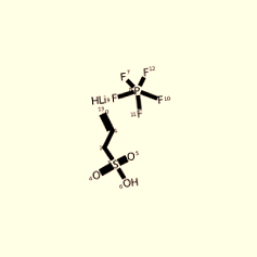 C=CCS(=O)(=O)O.FP(F)(F)(F)F.[LiH]